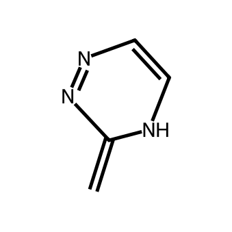 C=C1N=NC=CN1